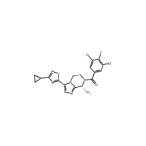 C[C@@H]1c2nnc(-c3nc(C4CC4)ns3)n2CCN1C(=O)c1cc(Cl)c(F)c(Cl)c1